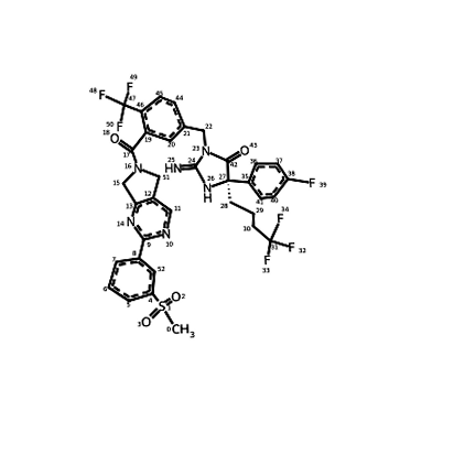 CS(=O)(=O)c1cccc(-c2ncc3c(n2)CN(C(=O)c2cc(CN4C(=N)N[C@](CCCC(F)(F)F)(c5ccc(F)cc5)C4=O)ccc2C(F)(F)F)C3)c1